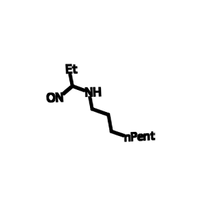 CCCCCCCCNC(CC)N=O